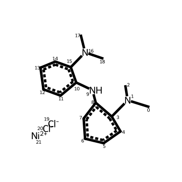 CN(C)c1ccccc1Nc1ccccc1N(C)C.[Cl-].[Cl-].[Ni+2]